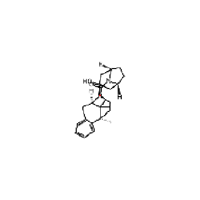 CC1(C)[C@H]2Cc3ccccc3[C@]1(C)CCN2C(=O)N1[C@@H]2CC[C@H]1C[C@@](C)(O)C2